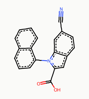 N#Cc1ccc2cc(C(=O)O)n(-c3cccc4ccccc34)c2c1